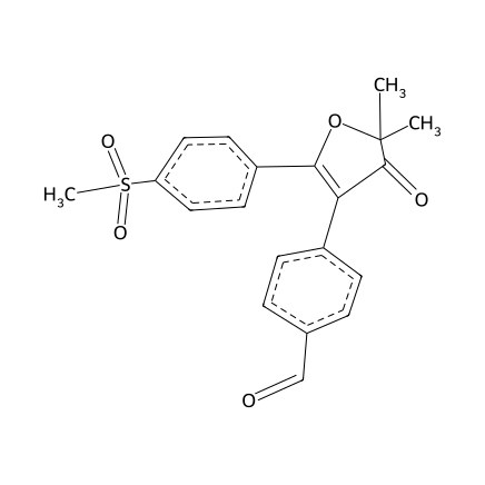 CC1(C)OC(c2ccc(S(C)(=O)=O)cc2)=C(c2ccc(C=O)cc2)C1=O